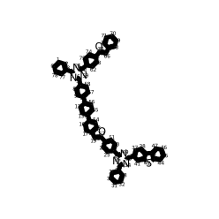 c1ccc(-c2nc(-c3ccc(-c4ccc(-c5ccc6cc(-c7ccc(-c8nc(-c9ccccc9)nc(-c9ccc%10c(c9)sc9ccccc9%10)n8)cc7)oc6c5)cc4)cc3)nc(-c3ccc(-c4cc5ccccc5o4)cc3)n2)cc1